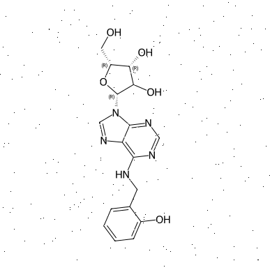 OC[C@H]1O[C@@H](n2cnc3c(NCc4ccccc4O)ncnc32)C(O)[C@H]1O